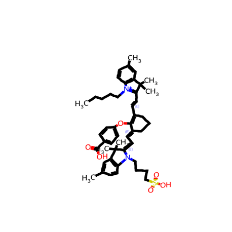 CCCCC[N+]1=C(/C=C/C2=C(Oc3ccc(C(=O)O)cc3)C(=C/C=C3/N(CCCCS(=O)(=O)O)c4ccc(C)cc4C3(C)C)/CCC2)C(C)(C)c2cc(C)ccc21